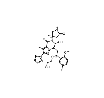 COc1ccc(F)cc1[C@H](CN1c2sc(-n3nccn3)c(C)c2C(=O)N([C@]2(C)CNC(=O)C2)C1O)OCCO